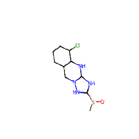 C[S+]([O-])C1NC2NC3C(Cl)CCCC3CN2N1